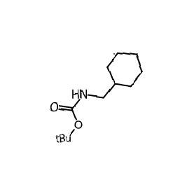 CC(C)(C)OC(=O)NCC1C[CH]CCC1